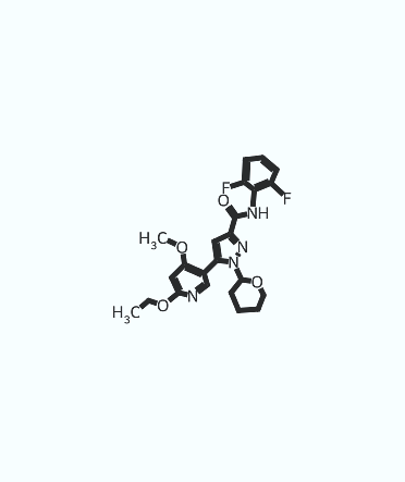 CCOc1cc(OC)c(-c2cc(C(=O)Nc3c(F)cccc3F)nn2C2CCCCO2)cn1